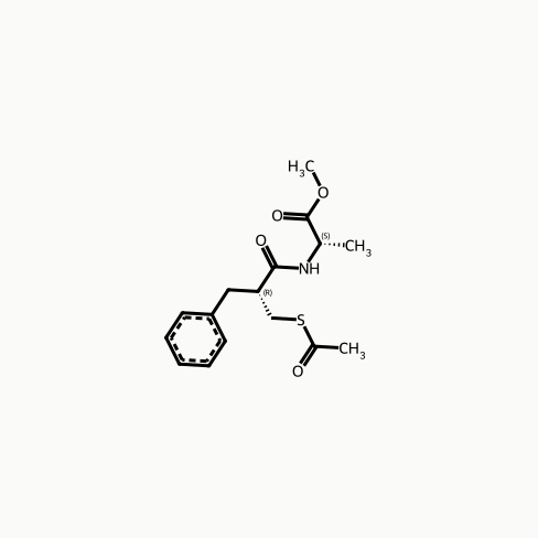 COC(=O)[C@H](C)NC(=O)[C@H](CSC(C)=O)Cc1ccccc1